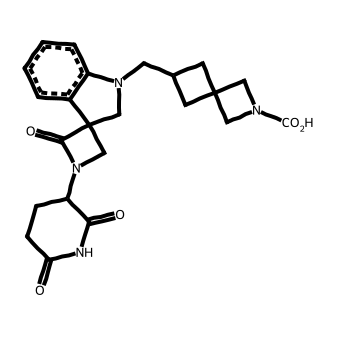 O=C1CCC(N2CC3(CN(CC4CC5(C4)CN(C(=O)O)C5)c4ccccc43)C2=O)C(=O)N1